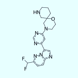 FC(F)c1ccc2ncc(-c3cc(N4CCOC5(CCCNC5)C4)ncn3)n2n1